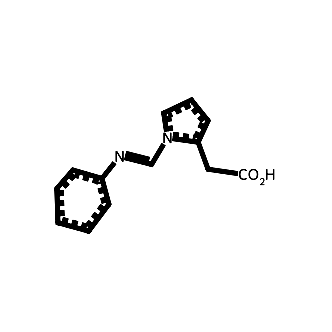 O=C(O)Cc1cccn1C=Nc1ccccc1